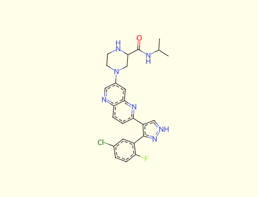 CC(C)NC(=O)C1CN(c2cnc3ccc(-c4c[nH]nc4-c4cc(Cl)ccc4F)nc3c2)CCN1